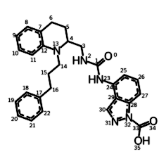 O=C(NCC1CCc2ccccc2N1CCCc1ccccc1)Nc1cccc2c1cnn2C(=O)O